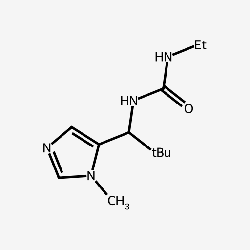 CCNC(=O)NC(c1cncn1C)C(C)(C)C